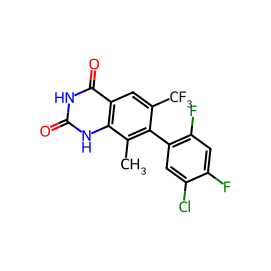 Cc1c(-c2cc(Cl)c(F)cc2F)c(C(F)(F)F)cc2c(=O)[nH]c(=O)[nH]c12